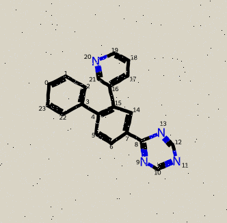 c1ccc(-c2ccc(-c3ncncn3)cc2-c2cccnc2)cc1